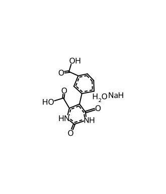 O.O=C(O)c1cccc(-c2c(C(=O)O)[nH]c(=O)[nH]c2=O)c1.[NaH]